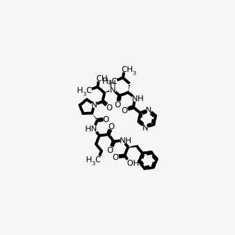 CCCC(NC(=O)[C@@H]1CCCN1C(=O)[C@@H](NC(=O)[C@H](CC(C)C)NC(=O)c1cnccn1)C(C)C)C(=O)C(=O)N[C@@H](Cc1ccccc1)C(=O)O